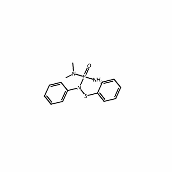 CN(C)P(N)(=O)N(Sc1ccccc1)c1ccccc1